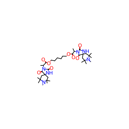 CC(C(=O)OCCCCCCOC(=O)C(C)N1C(=O)NC2(CC(C)(C)N(C)C(C)(C)C2)C1=O)N1C(=O)NC2(CC(C)(C)N(C)C(C)(C)C2)C1=O